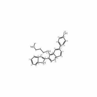 CN(C)CCCNc1c(-c2nc3ccccc3[nH]2)cnc2ccc(-c3ccc(O)cc3)cc12